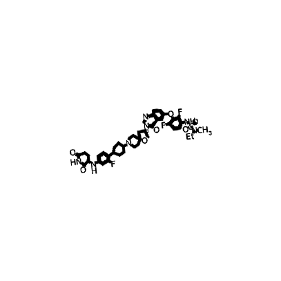 CCN(C)S(=O)(=O)Nc1ccc(F)c(Oc2ccc3ncn([C@H]4COC5(CCN(C6CCC(c7ccc(NC8CCC(=O)NC8=O)cc7F)CC6)CC5)C4)c(=O)c3c2)c1F